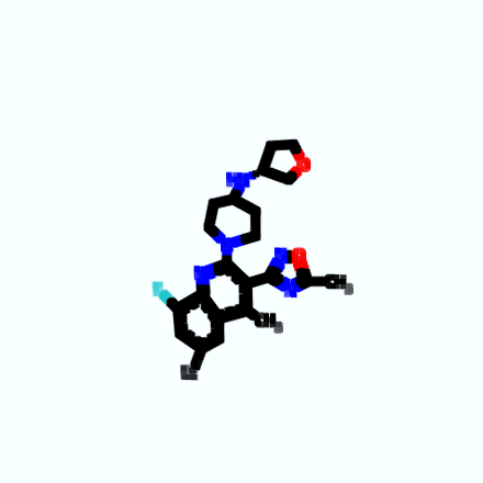 CCc1cc(F)c2nc(N3CCC(N[C@@H]4CCOC4)CC3)c(-c3noc(C)n3)c(C)c2c1